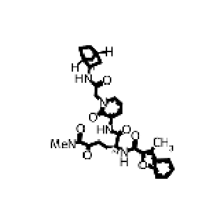 CNC(=O)C(=O)CC[C@H](NC(=O)c1oc2ccccc2c1C)C(=O)Nc1cccn(CC(=O)N[C@@H]2C[C@H]3CC[C@@H]2C3)c1=O